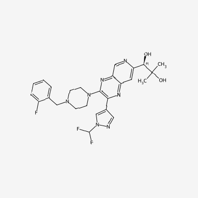 CC(C)(O)[C@H](O)c1cc2nc(-c3cnn(C(F)F)c3)c(N3CCN(Cc4ccccc4F)CC3)nc2cn1